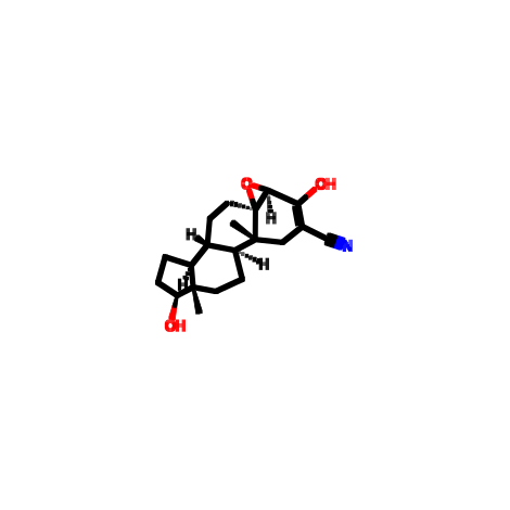 C[C@]12CC[C@H]3[C@@H](CC[C@]45O[C@H]4C(O)=C(C#N)C[C@]35C)[C@@H]1CC[C@@H]2O